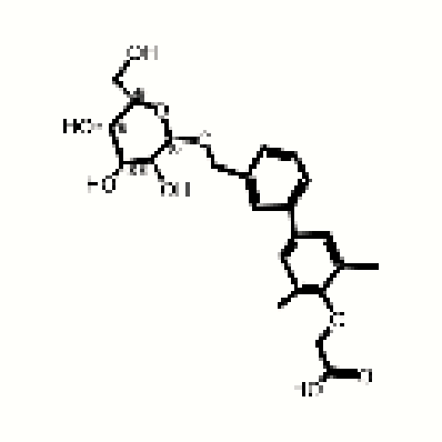 Cc1cc(-c2cccc(CO[C@@H]3O[C@H](CO)[C@@H](O)[C@H](O)[C@@H]3O)c2)cc(C)c1OCC(=O)O